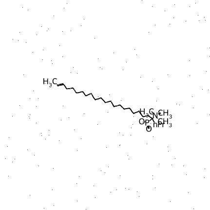 CC=CCCCCCCCCCCCCCCCCCCC(CCC)(P(=O)=O)[N+](C)(C)C